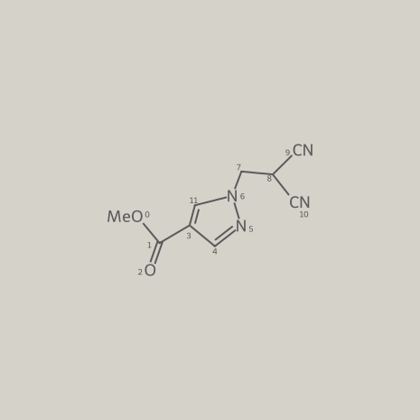 COC(=O)c1cnn(CC(C#N)C#N)c1